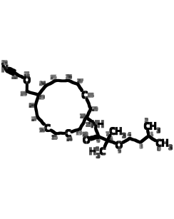 CC(C)CCOC(C)(C)C(=O)NC1CCCCCCC(COC#N)CCCCCC1